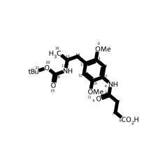 COc1cc(NC(=O)CCC(=O)O)c(OC)cc1CC(C)NC(=O)OC(C)(C)C